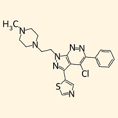 CN1CCN(CCn2nc(-c3cncs3)c3c(Cl)c(-c4ccccc4)nnc32)CC1